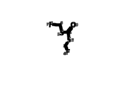 O=C(SCF)SCF